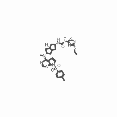 CCSc1nsc(NC(=O)N[C@@H]2CC3C[C@H](N(C)c4ncnc5c4ccn5S(=O)(=O)c4ccc(C)cc4)C[C@H]3C2)n1